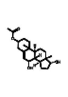 CC(=O)OC1CC[C@@]2(C)C(=C[C@H](O)[C@H]3[C@@H]4CC[C@H](O)[C@@]4(C)CC[C@@H]32)C1